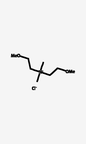 COCC[N+](C)(C)CCOC.[Cl-]